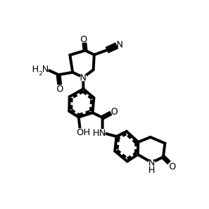 N#CC1CN(c2ccc(O)c(C(=O)Nc3ccc4c(c3)CCC(=O)N4)c2)C(C(N)=O)CC1=O